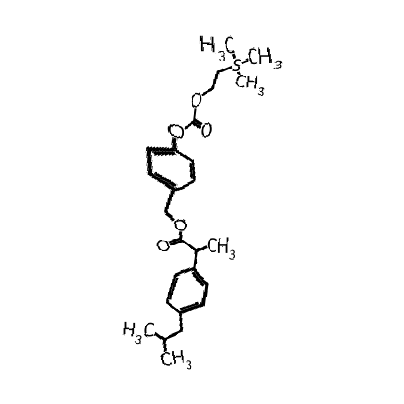 CC(C)Cc1ccc(C(C)C(=O)OCc2ccc(OC(=O)OCCS(C)(C)C)cc2)cc1